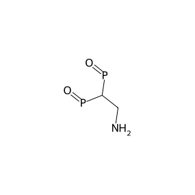 NCC(P=O)P=O